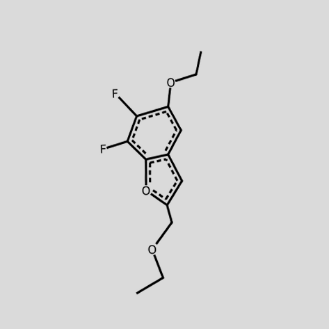 CCOCc1cc2cc(OCC)c(F)c(F)c2o1